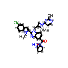 COc1cc(C(=O)N2CC3CCC2[C@@H]3N)cc2nc(-c3cc4cc(Cl)ccc4n3C)n(CC3CN(c4ccnc(C#N)n4)C3)c12